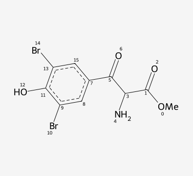 COC(=O)C(N)C(=O)c1cc(Br)c(O)c(Br)c1